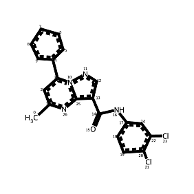 Cc1cc(-c2ccccc2)n2ncc(C(=O)Nc3ccc(Cl)c(Cl)c3)c2n1